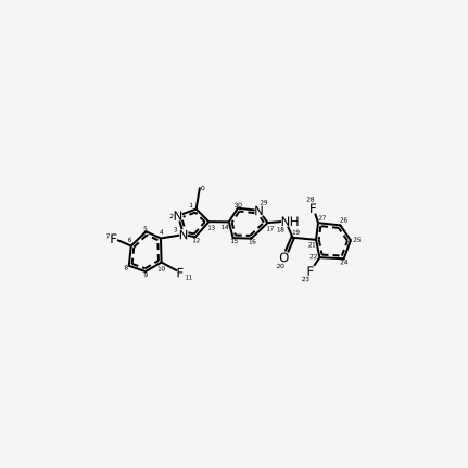 Cc1nn(-c2cc(F)ccc2F)cc1-c1ccc(NC(=O)c2c(F)cccc2F)nc1